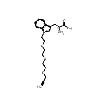 C#CCOCCOCCOCCn1cc(C[C@H](N)C(=O)O)c2ccccc21